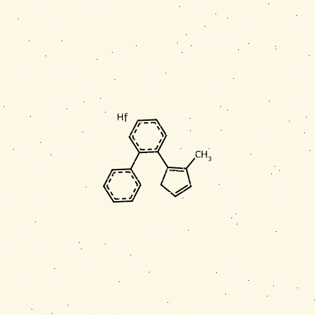 CC1=C(c2ccccc2-c2ccccc2)CC=C1.[Hf]